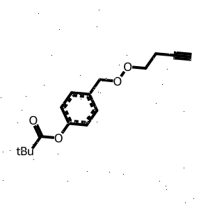 C#CCCOOCc1ccc(OC(=O)C(C)(C)C)cc1